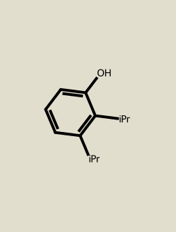 CC(C)c1cccc(O)c1C(C)C